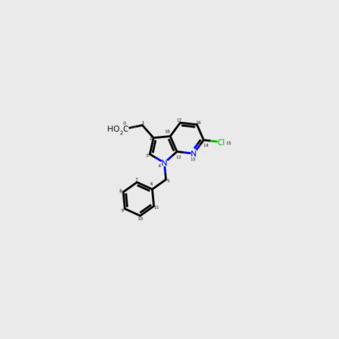 O=C(O)Cc1cn(Cc2ccccc2)c2nc(Cl)ccc12